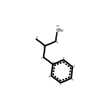 CC([CH]c1ccccc1)CC(C)(C)C